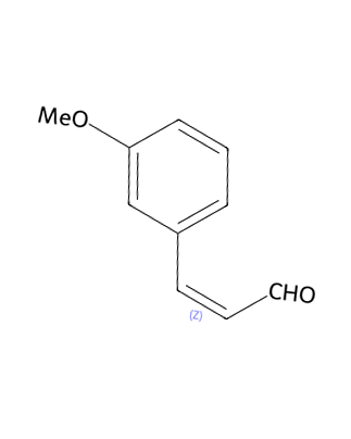 COc1cccc(/C=C\C=O)c1